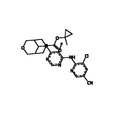 CC1(OC(=O)N2CC3COCC(C2)C3Oc2ncnc(Nc3ncc(C#N)cc3Cl)c2F)CC1